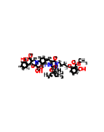 COC(=O)c1c(O)cccc1OCCCCNC(=O)[C@H](Cc1ccc(N(CC(Cc2ccccc2)C(=O)O)C(=O)C(=O)O)cc1)NC(=O)OC(C)(C)C